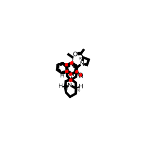 CC[C@@H]1C[C@@H]2C[C@H](C1)C[C@@H](N1[C@@H]3CCC[C@H]1C[C@@H](n1c(=O)c(N4CC[C@@H]4C(C)=O)nc4ccccc41)C3)C2